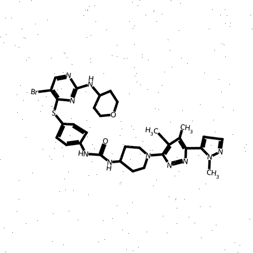 Cc1c(-c2ccnn2C)nnc(N2CCC(NC(=O)Nc3ccc(Sc4nc(NC5CCOCC5)ncc4Br)cc3)CC2)c1C